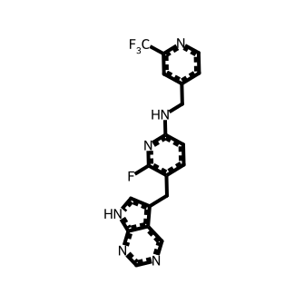 Fc1nc(NCc2ccnc(C(F)(F)F)c2)ccc1Cc1c[nH]c2ncncc12